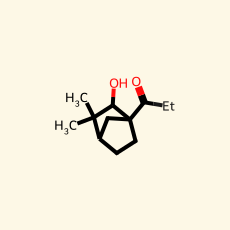 CCC(=O)C12CCC(C1)C(C)(C)C2O